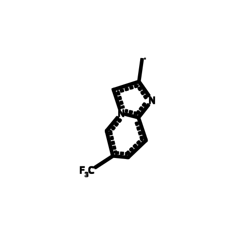 [CH2]c1cn2cc(C(F)(F)F)ccc2n1